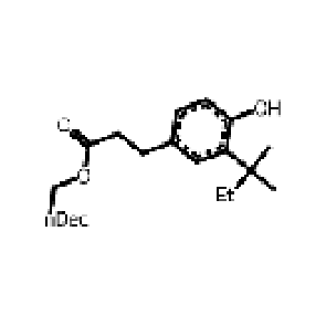 CCCCCCCCCCCOC(=O)CCc1ccc(O)c(C(C)(C)CC)c1